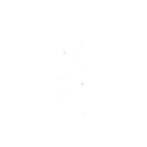 COCCN(C)c1cc(Nc2cc(C)[nH]n2)nc(N2CCC[C@H]2c2cc(-c3cccnc3)no2)n1